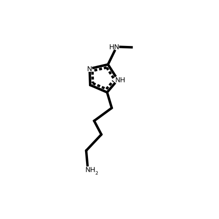 CNc1ncc(CCCCN)[nH]1